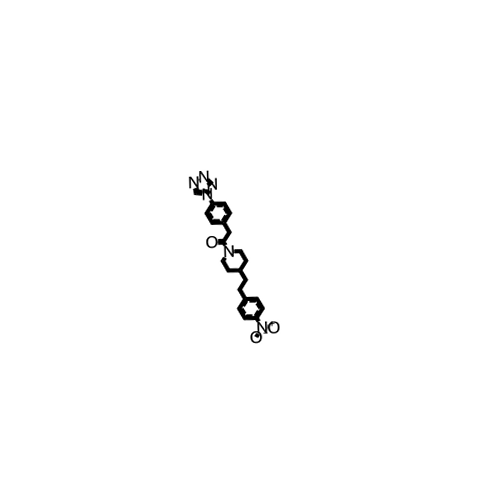 O=C(Cc1ccc(-n2cnnn2)cc1)N1CCC(CCc2ccc([N+](=O)[O-])cc2)CC1